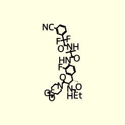 CCC(=O)N[C@@H](C(=O)N1CCS(=O)(=O)CC1)[C@@H](C)c1ccc(NC(=O)C(C)(C)NC(=O)C(F)(F)c2cccc(C#N)c2)c(F)c1